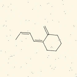 C=C1CCCC/C1=C/C=C\C